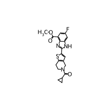 COC(=O)c1cc(F)cc2[nH]c(-c3cc4c(s3)CCN(C(=O)C3CC3)C4)nc12